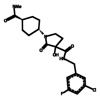 CNC(=O)[C@H]1CC[C@H](N2CCC(O)(C(=O)NCc3cc(F)cc(Cl)c3)C2=O)CC1